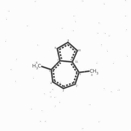 Cc1cccc(C)c2cc[c]c1-2